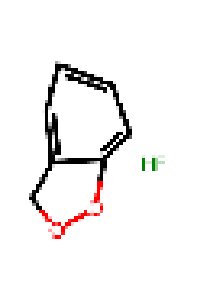 F.c1ccc2c(c1)COO2